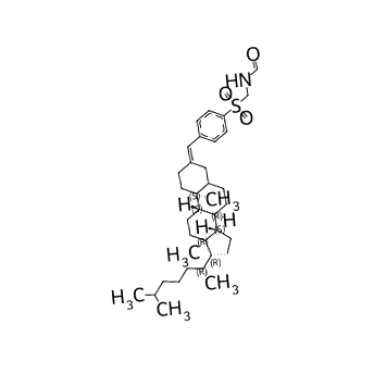 CC(C)CCC[C@@H](C)[C@H]1CC[C@H]2[C@@H]3CCC4CC(=Cc5ccc(S(=O)(=O)CNC=O)cc5)CC[C@]4(C)[C@H]3CC[C@]12C